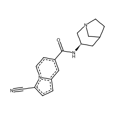 N#Cc1ccc2cc(C(=O)N[C@@H]3CC4CCN(C4)C3)ccn12